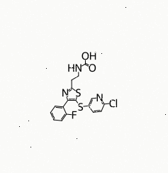 O=C(O)NCCc1nc(-c2ccccc2F)c(Sc2ccc(Cl)nc2)s1